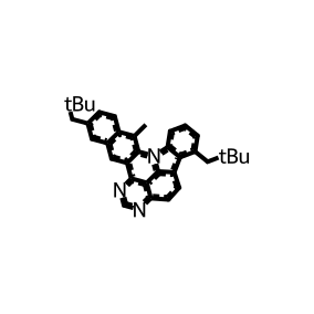 Cc1c2ccc(CC(C)(C)C)cc2cc2c3ncnc4ccc5c6c(CC(C)(C)C)cccc6n(c12)c5c43